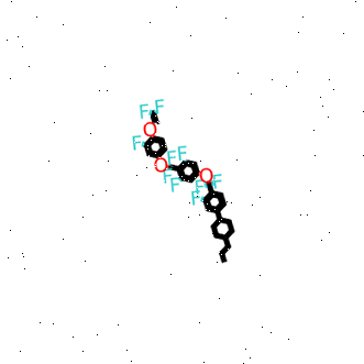 CCCC1CCC(c2ccc(C(F)(F)Oc3cc(F)c(C(F)(F)Oc4ccc(OC=C(F)F)c(F)c4)c(F)c3)c(F)c2)CC1